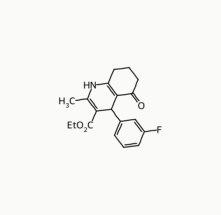 CCOC(=O)C1=C(C)NC2=C(C(=O)CCC2)C1c1cccc(F)c1